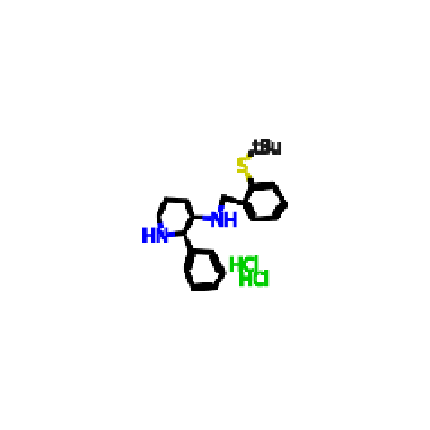 CC(C)(C)Sc1ccccc1CN[C@@H]1CCCN[C@@H]1c1ccccc1.Cl.Cl